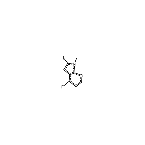 Cn1c(I)cc2c(F)ccnc21